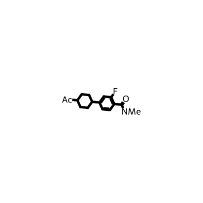 CNC(=O)c1ccc(C2CCC(C(C)=O)CC2)cc1F